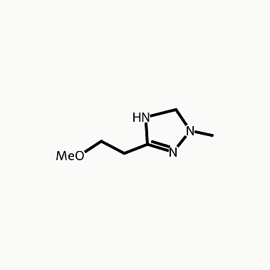 COCCC1=NN(C)CN1